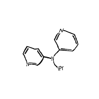 CC(C)N(c1cccnc1)c1cccnc1